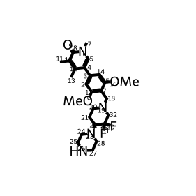 COc1cc(-c2cn(C)c(=O)c(C)c2C)cc(OC)c1CN1CCC(N2CCNCC2)C(F)(F)C1